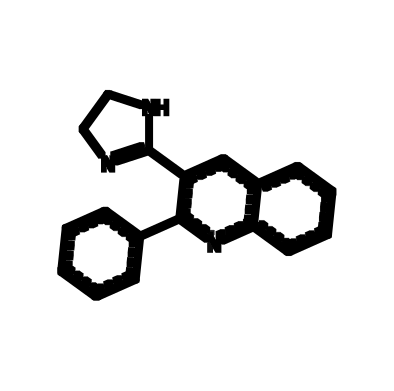 c1ccc(-c2nc3ccccc3cc2C2=NCCN2)cc1